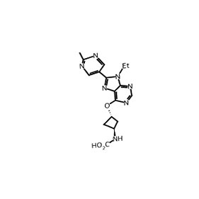 CCn1c(-c2cnc(C)nc2)nc2c(O[C@H]3C[C@H](NC(=O)O)C3)ncnc21